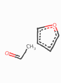 CC=O.c1ccoc1